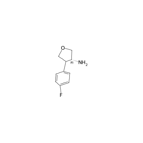 N[C@H]1COCC1c1ccc(F)cc1